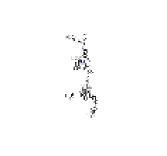 C=CC(=O)OCCCOc1ccc2cc(C(=O)Oc3ccc(OCCCOC(=O)CCc4ccc(OC(=O)c5ccc6cc(OCC(CCCC)CCCCOCC)ccc6c5)c(/C=N/N(C(=O)C=C)c5nc6ccccc6s5)c4F)c(Cl)c3/C=N/N(COCCOC)c3nc4ccccc4s3)ccc2c1F